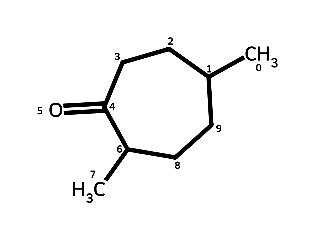 CC1CCC(=O)C(C)CC1